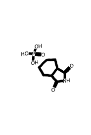 O=C1NC(=O)C2CCCCC12.O=P(O)(O)O